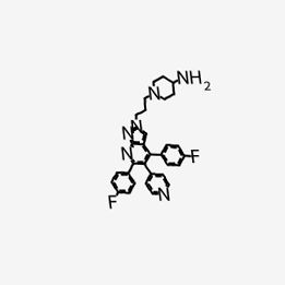 NC1CCN(CCCn2cc3c(-c4ccc(F)cc4)c(-c4ccncc4)c(-c4ccc(F)cc4)nc3n2)CC1